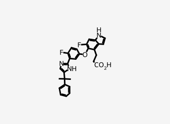 CC(C)(c1ccccc1)c1cnc(-c2cc(Oc3c(F)cc4[nH]ccc4c3CCC(=O)O)ccc2F)[nH]1